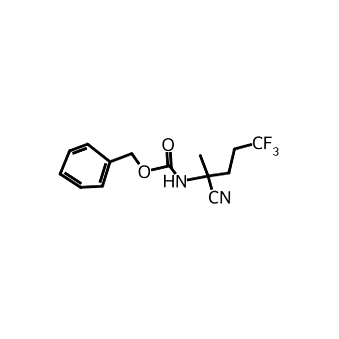 CC(C#N)(CCC(F)(F)F)NC(=O)OCc1ccccc1